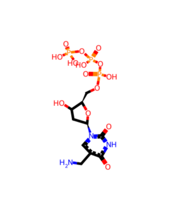 NCc1cn([C@H]2CC(O)[C@@H](COP(=O)(O)OP(=O)(O)OP(=O)(O)O)O2)c(=O)[nH]c1=O